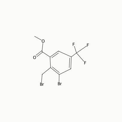 COC(=O)c1cc(C(F)(F)F)cc(Br)c1CBr